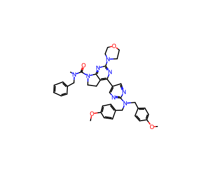 COc1ccc(CN(Cc2ccc(OC)cc2)c2ncc(-c3nc(N4CCOCC4)nc4c3CCN4C(=O)N(C)Cc3ccccc3)cn2)cc1